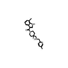 Cc1ccc(CNCC2(F)CCN(C(=O)c3c[nH]c4c(C)cccc34)CC2)nc1